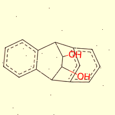 OC1C2c3cccc(c3)C(c3ccccc32)C1O